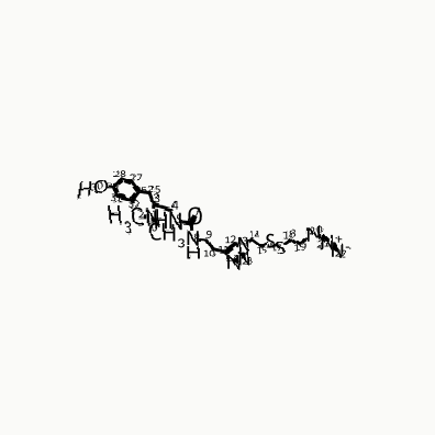 CN(C)C(CNC(=O)NCCc1cn(CCSSCCN=[N+]=[N-])nn1)Cc1ccc(O)cc1